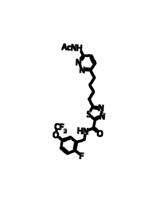 CC(=O)Nc1ccc(CCCCc2nnc(C(=O)NCc3cc(OC(F)(F)F)ccc3F)s2)nn1